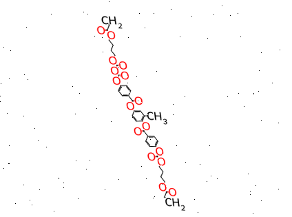 C=CC(=O)OCCCCOC(=O)OC(=O)Oc1ccc(C(=O)Oc2ccc(OC(=O)c3ccc(OC(=O)OCCCCOC(=O)C=C)cc3)c(C)c2)cc1